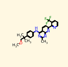 COCC(C)(C)c1ccc(Nc2nc(C)nc3nc(-c4ncccc4C(F)(F)F)ccc23)cc1